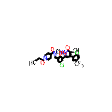 C#CCC(=O)N1CCC(C(=O)N(C)Cc2cc(Cl)cc(-c3cc(-c4cc(C(F)(F)F)ccc4Cl)c(C#N)c(=O)[nH]3)c2O)CC1